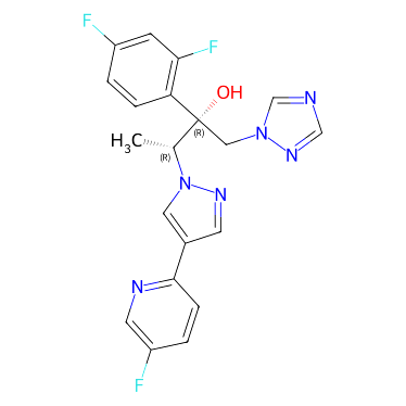 C[C@@H](n1cc(-c2ccc(F)cn2)cn1)[C@](O)(Cn1cncn1)c1ccc(F)cc1F